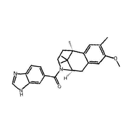 COc1cc2c(cc1C)[C@]1(C)CCN(C(=O)c3ccc4nc[nH]c4c3)[C@H](C2)C1(C)C